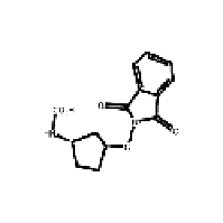 O=C(O)N[C@@H]1CC[C@H](ON2C(=O)c3ccccc3C2=O)C1